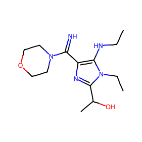 CCNc1c(C(=N)N2CCOCC2)nc(C(C)O)n1CC